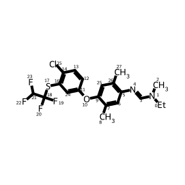 CCN(C)C=Nc1cc(C)c(Oc2ccc(Cl)c(SC(F)(F)C(F)F)c2)cc1C